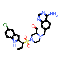 C=CC(c1cc2cc(Cl)ccc2[nH]1)S(=O)(=O)N1CCN(Cc2ccc3c(N)ncnc3c2)C(C=O)C1